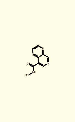 CC(C)NC(=O)c1cncc2nc[c]nc12